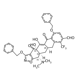 CN(C)[C@@H]1c2onc(OCc3ccccc3)c2C(=O)[C@@]2(O)C(O)=C3C(=O)c4c(OCc5ccccc5)cc(C=O)c(C(F)(F)F)c4C[C@H]3C[C@@H]12